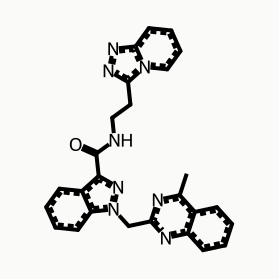 Cc1nc(Cn2nc(C(=O)NCCc3nnc4ccccn34)c3ccccc32)nc2ccccc12